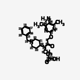 Cc1nc(OCC(=O)N(C)C2CCN(Cc3ccccc3)CC2)nc(C)c1N.O=[N+]([O-])O